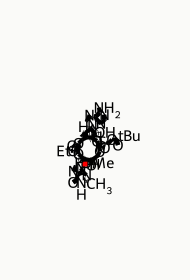 CCO[P@@]1(=O)OCC23C[C@@H]2[C@@H](n2cnc4c(N)ncnc42)[C@H](O)[C@@H]3O[P@](=O)(SCOC(=O)C(C)(C)C)OC[C@H]2O[C@@H](n3cnc4c(=O)[nH]c(C)nc43)[C@H](O1)[C@@H]2OC